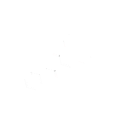 CCO/C=C(/C(=O)Cc1ccccc1)C(=O)OCC